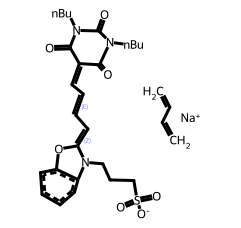 C=CC=C.CCCCN1C(=O)C(=C/C=C/C=C2\Oc3ccccc3N2CCCS(=O)(=O)[O-])C(=O)N(CCCC)C1=O.[Na+]